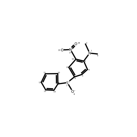 CN(C)c1ccc([S+]([O-])c2ccccc2)cc1[N+](=O)[O-]